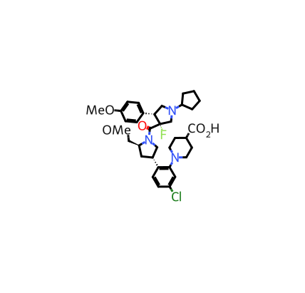 COC[C@@H]1C[C@@H](c2ccc(Cl)cc2N2CCC(C(=O)O)CC2)CN1C(=O)[C@]1(F)CN(C2CCCC2)C[C@H]1c1ccc(OC)cc1